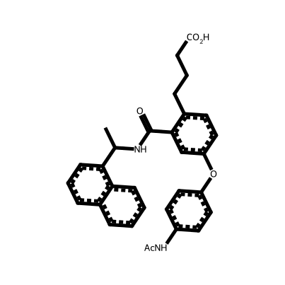 CC(=O)Nc1ccc(Oc2ccc(CCCC(=O)O)c(C(=O)NC(C)c3cccc4ccccc34)c2)cc1